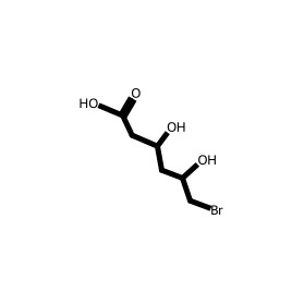 O=C(O)CC(O)CC(O)CBr